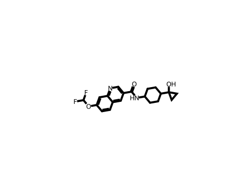 O=C(NC1CCC(C2(O)CC2)CC1)c1cnc2cc(OC(F)F)ccc2c1